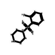 O=S(=O)(c1ccccc1F)N1CCOCC1